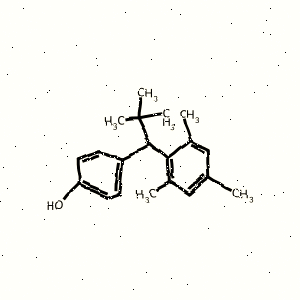 Cc1cc(C)c(C(c2ccc(O)cc2)C(C)(C)C)c(C)c1